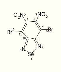 O=[N+]([O-])c1c([N+](=O)[O-])c(Br)c2n[se]nc2c1Br